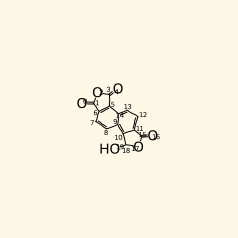 O=C1OC(=O)c2c1ccc1c3c(ccc21)C(=O)OC3O